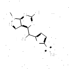 Cn1ncc2c(C(N)c3ccc(S(N)(=O)=O)s3)nc(Cl)nc21